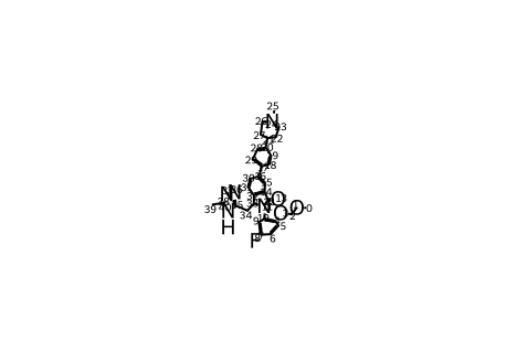 COCOc1ccc(F)cc1N1C(=O)c2cc(-c3ccc(C4CCN(C)CC4)cc3)ccc2C1Cc1nnc(C)[nH]1